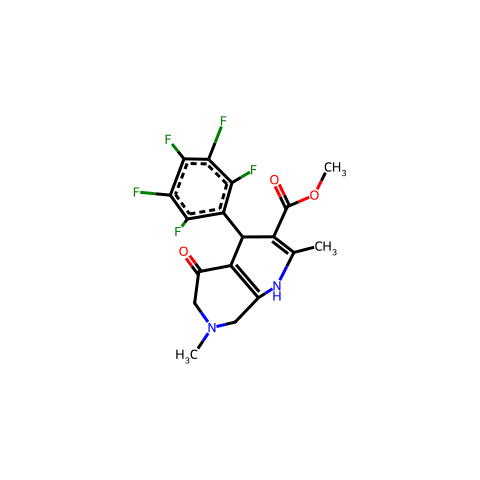 COC(=O)C1=C(C)NC2=C(C(=O)CN(C)C2)C1c1c(F)c(F)c(F)c(F)c1F